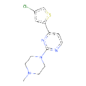 CN1CCN(c2nccc(-c3cc(Cl)cs3)n2)CC1